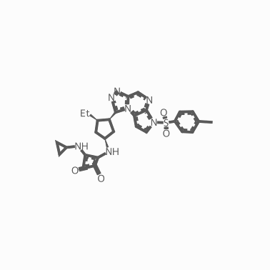 CC[C@@H]1C[C@H](Nc2c(NC3CC3)c(=O)c2=O)C[C@@H]1c1nnc2cnc3c(ccn3S(=O)(=O)c3ccc(C)cc3)n12